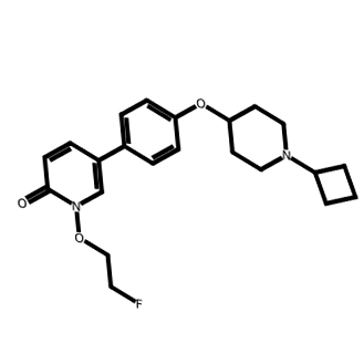 O=c1ccc(-c2ccc(OC3CCN(C4CCC4)CC3)cc2)cn1OCCF